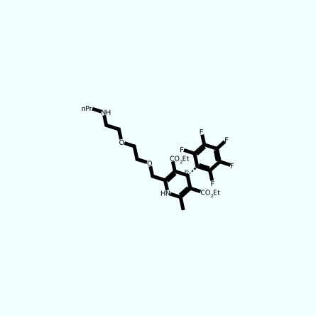 CCCNCCOCCOCC1=C(C(=O)OCC)[C@H](c2c(F)c(F)c(F)c(F)c2F)C(C(=O)OCC)=C(C)N1